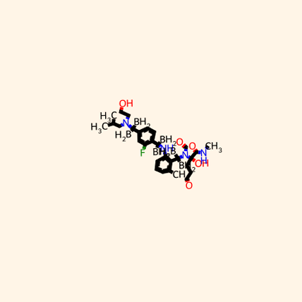 BC(B)(Nc1cccc(C)c1C(B)(B)N(C=O)C(O)(CCC=O)C(=O)NC)c1ccc(C(B)(B)N(CCO)CC(C)C)cc1F